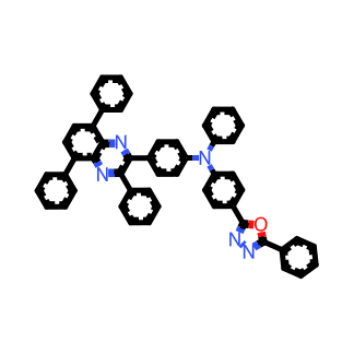 c1ccc(-c2nnc(-c3ccc(N(c4ccccc4)c4ccc(-c5nc6c(-c7ccccc7)ccc(-c7ccccc7)c6nc5-c5ccccc5)cc4)cc3)o2)cc1